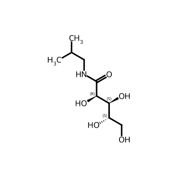 CC(C)CNC(=O)[C@H](O)[C@@H](O)[C@@H](O)CO